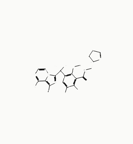 Cc1nc([C@@](C)(O)c2cc(Cl)c(F)c(C(=O)NC[C@@H]3CCCO3)c2OC(C)C)n2ccnc(N)c12